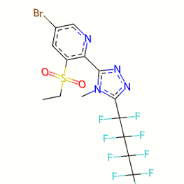 CCS(=O)(=O)c1cc(Br)cnc1-c1nnc(C(F)(F)C(F)(F)C(F)(F)C(F)(F)F)n1C